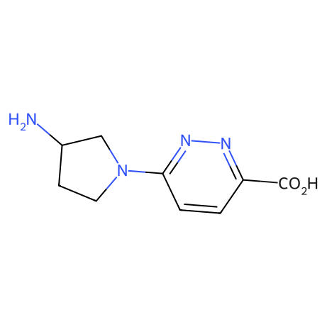 NC1CCN(c2ccc(C(=O)O)nn2)C1